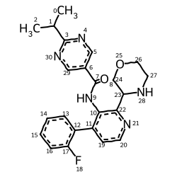 CC(C)c1ncc(C(=O)Nc2c(-c3ccccc3F)ccnc2C2COCCN2)cn1